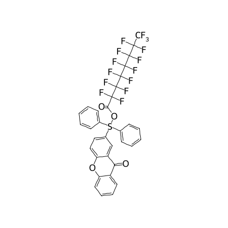 O=C(OS(c1ccccc1)(c1ccccc1)c1ccc2oc3ccccc3c(=O)c2c1)C(F)(F)C(F)(F)C(F)(F)C(F)(F)C(F)(F)C(F)(F)C(F)(F)F